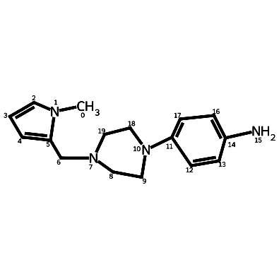 Cn1cccc1CN1CCN(c2ccc(N)cc2)CC1